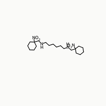 O=[N+]([O-])C1(CNCCCCCCNCC2([N+](=O)[O-])CCCCC2)CCCCC1